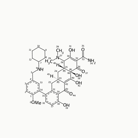 COc1ccc(CNC2CCCCC2)cc1-c1ccc(O)c2c1C[C@H]1C[C@@H]3C(N(C)C)C(O)=C(C(N)=O)C(=O)[C@]3(O)C(O)=C1C2=O